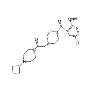 COc1ccc(Cl)cc1C(=O)N1CCN(CC(=O)N2CCN(C3CCC3)CC2)CC1